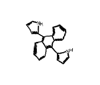 c1c[nH]c(-c2c3ccccc3c(-c3ccc[nH]3)c3ccccc23)c1